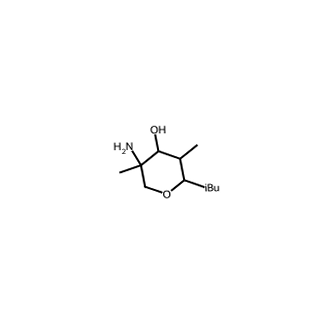 CCC(C)C1OCC(C)(N)C(O)C1C